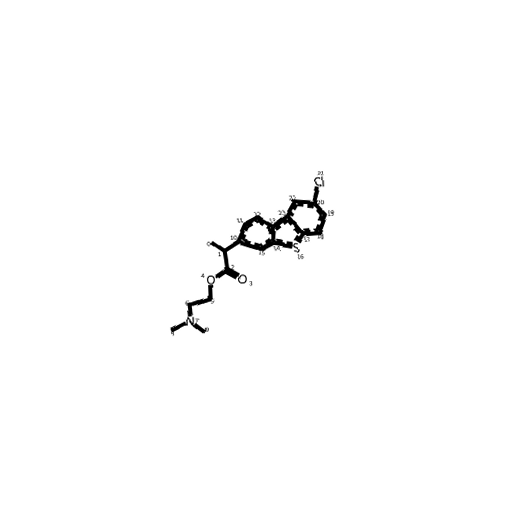 CC(C(=O)OCCN(C)C)c1ccc2c(c1)sc1ccc(Cl)cc12